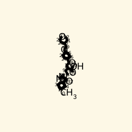 Cc1ccc2nnn(CCC(CC(=O)c3ccc(OCC4CCOCC4)cc3)C(=O)O)c(=O)c2c1